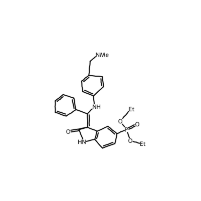 CCOP(=O)(OCC)c1ccc2c(c1)C(=C(Nc1ccc(CNC)cc1)c1ccccc1)C(=O)N2